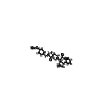 COc1ccc(CN2CCC3(CCN(C(C(=O)C(C)C)[C@@H]4CNC[C@@H]4c4ccccc4)CC3)C2=O)cc1